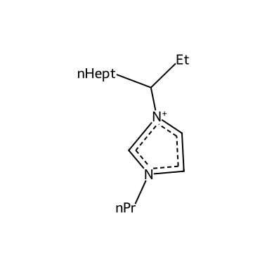 [CH2]CCn1cc[n+](C(CC)CCCCCCC)c1